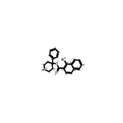 O=C(OC1(c2ccccc2)CCNCC1)c1ccc2ccccc2c1Br